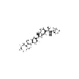 O=C(NC1CC2CCC1C2)c1ccc2[nH]c(-c3ccc(NC(=O)C4CCCCCC4)cc3)cc2c1